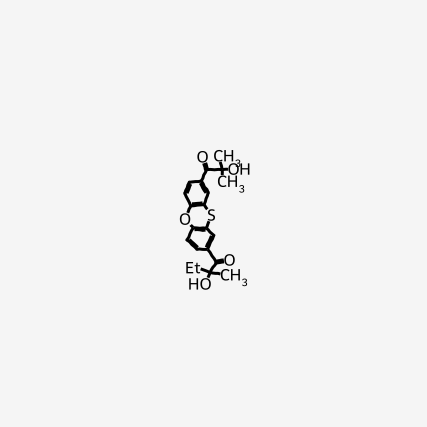 CCC(C)(O)C(=O)c1ccc2c(c1)Sc1cc(C(=O)C(C)(C)O)ccc1O2